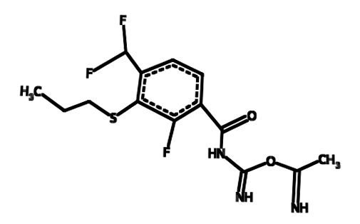 CCCSc1c(C(F)F)ccc(C(=O)NC(=N)OC(C)=N)c1F